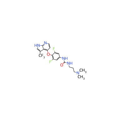 CN(C)CCCNC(=O)Nc1cc(F)c(Oc2ccnc3[nH]cc(C(F)(F)F)c23)c(F)c1